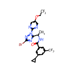 CC(NC(=O)c1cc(C2CC2)cc(C(F)(F)F)c1)c1nc(Br)nn1-c1ncc(OCC(F)(F)F)cn1